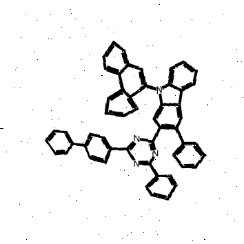 c1ccc(-c2ccc(-c3nc(-c4ccccc4)nc(-c4cc5c(cc4-c4ccccc4)c4ccccc4n5-c4cc5ccccc5c5ccccc45)n3)cc2)cc1